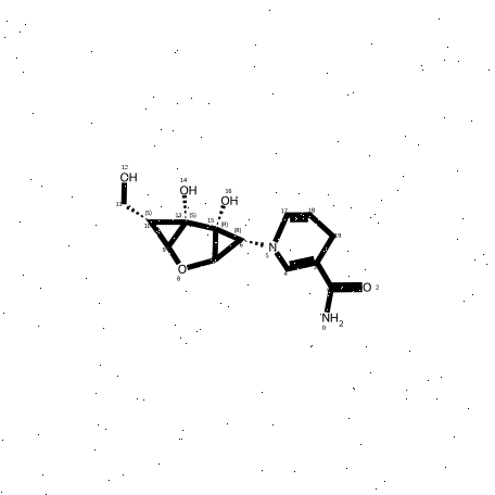 NC(=O)C1=CN([C@@H]2C3OC4[C@H](CO)[C@@]4(O)[C@]32O)C=CC1